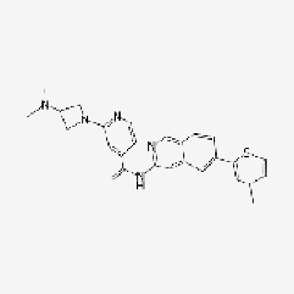 C=C(Nc1cc2cc(C3=CC(C)C=CS3)ccc2cn1)c1ccnc(N2CC(N(C)C)C2)c1